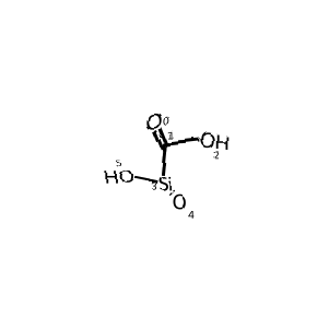 O=C(O)[Si](=O)O